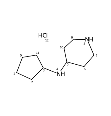 C1CCC(NC2CCNCC2)C1.Cl